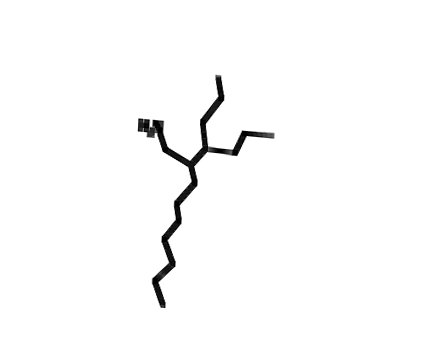 CCCCCCCC(CN)C(CCC)CCC